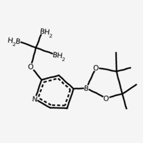 BC(B)(B)Oc1cc(B2OC(C)(C)C(C)(C)O2)ccn1